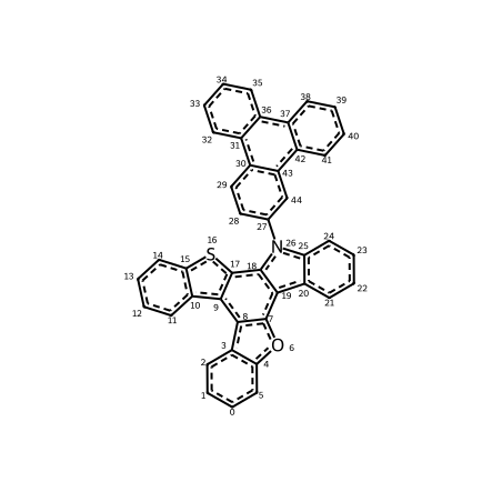 c1ccc2c(c1)oc1c2c2c3ccccc3sc2c2c1c1ccccc1n2-c1ccc2c3ccccc3c3ccccc3c2c1